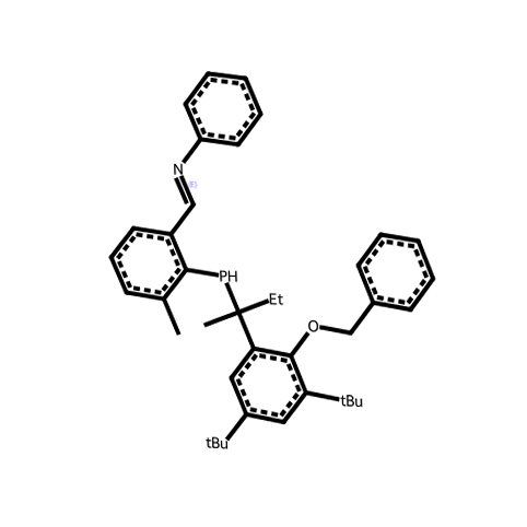 CCC(C)(Pc1c(C)cccc1/C=N/c1ccccc1)c1cc(C(C)(C)C)cc(C(C)(C)C)c1OCc1ccccc1